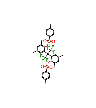 Cc1ccc(S(=O)(=O)Oc2c(C)cc(C)cc2C(c2cc(C)cc(C)c2OS(=O)(=O)c2ccc(C)cc2)(C(F)(F)F)C(F)(F)F)cc1